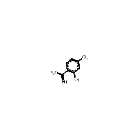 CC(=N)c1ccc(C(F)(F)F)cc1N